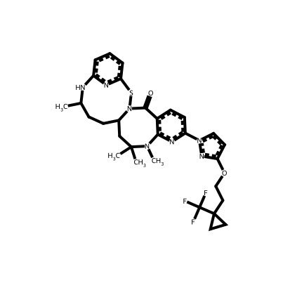 CC1CCC2CC(C)(C)N(C)c3nc(-n4ccc(OCCC5(C(F)(F)F)CC5)n4)ccc3C(=O)N2Sc2cccc(n2)N1